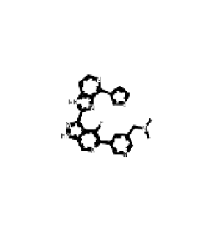 CN(C)Cc1cncc(-c2ncc3[nH]nc(-c4nc5c(-c6ccsc6)nccc5[nH]4)c3c2F)c1